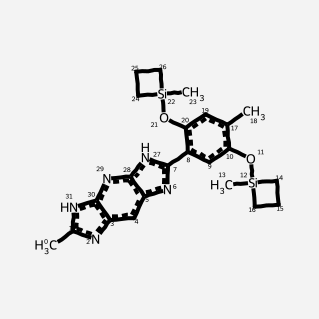 Cc1nc2cc3nc(-c4cc(O[Si]5(C)CCC5)c(C)cc4O[Si]4(C)CCC4)[nH]c3nc2[nH]1